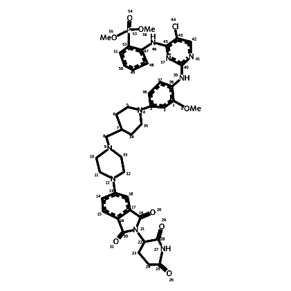 COc1cc(N2CCC(CN3CCN(c4ccc5c(c4)C(=O)N(C4CCC(=O)NC4=O)C5=O)CC3)CC2)ccc1Nc1ncc(Cl)c(Nc2ccccc2P(=O)(OC)OC)n1